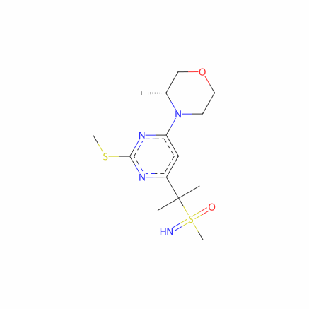 CSc1nc(N2CCOC[C@H]2C)cc(C(C)(C)S(C)(=N)=O)n1